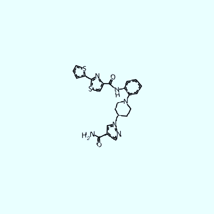 NC(=O)c1cnn(C2CCN(c3ccccc3NC(=O)c3csc(-c4cccs4)n3)CC2)c1